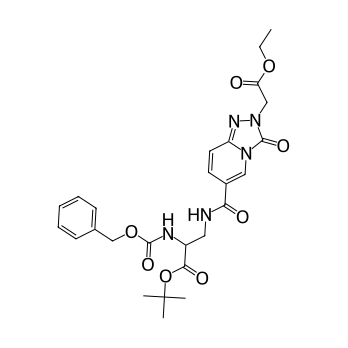 CCOC(=O)Cn1nc2ccc(C(=O)NCC(NC(=O)OCc3ccccc3)C(=O)OC(C)(C)C)cn2c1=O